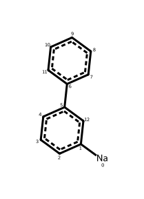 [Na][c]1cccc(-c2ccccc2)c1